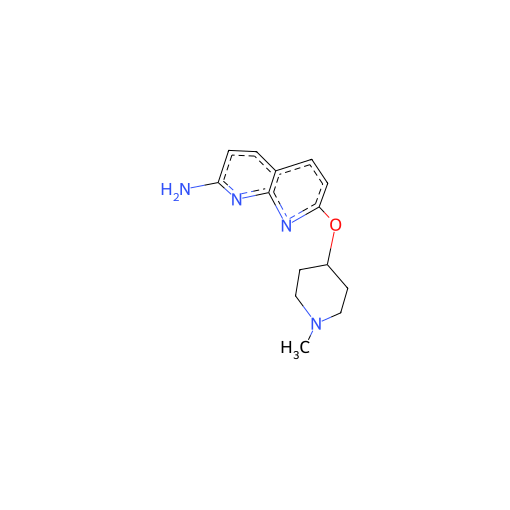 CN1CCC(Oc2ccc3ccc(N)nc3n2)CC1